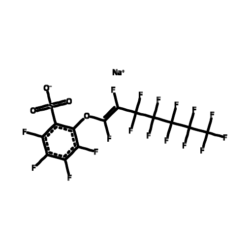 O=S(=O)([O-])c1c(F)c(F)c(F)c(F)c1OC(F)=C(F)C(F)(F)C(F)(F)C(F)(F)C(F)(F)C(F)(F)F.[Na+]